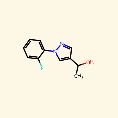 CC(O)c1cnn(-c2ccccc2F)c1